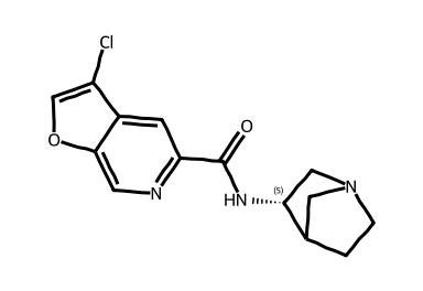 O=C(N[C@@H]1CN2CCC1C2)c1cc2c(Cl)coc2cn1